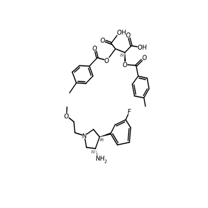 COCCN1C[C@@H](N)[C@H](c2cccc(F)c2)C1.Cc1ccc(C(=O)OC(C(=O)O)[C@H](OC(=O)c2ccc(C)cc2)C(=O)O)cc1